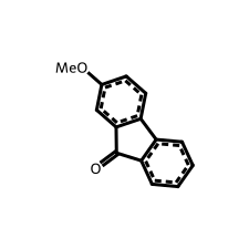 [CH2-][OH+]c1ccc2c(c1)C(=O)c1ccccc1-2